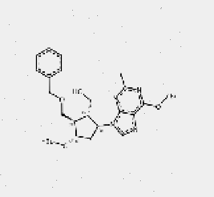 CCCCOc1nc(C)nc2c1ncn2[C@H]1C[C@H](OCCCC)[C@@H](COCc2ccccc2)[C@@H]1CO